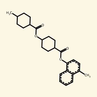 Cc1ccc(OC(=O)C2CCC(OC(=O)C3CCC(C)CC3)CC2)c2ccccc12